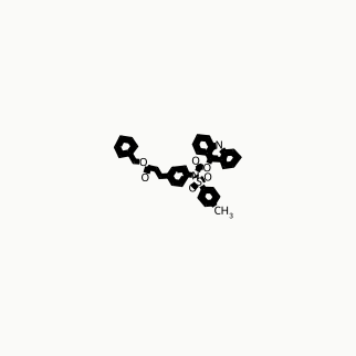 Cc1ccc(S(=O)(=O)N(C(=O)Oc2c3ccccc3nc3ccccc23)c2ccc(CCC(=O)OCc3ccccc3)cc2)cc1